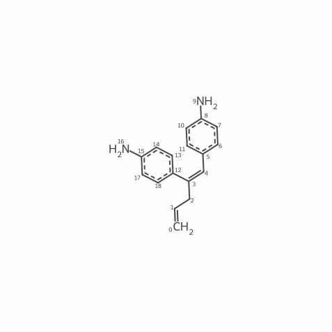 C=CCC(=Cc1ccc(N)cc1)c1ccc(N)cc1